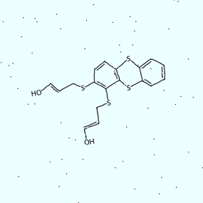 OC=CCSc1ccc2c(c1SCC=CO)Sc1ccccc1S2